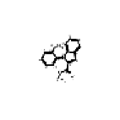 COC(=O)c1cc2ccccc2n1-c1ccccc1C